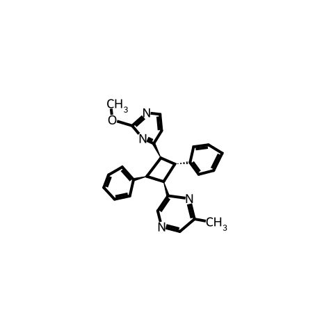 COc1nccc([C@H]2[C@H](c3ccccc3)[C@@H](c3cncc(C)n3)[C@H]2c2ccccc2)n1